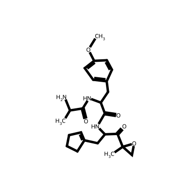 COc1ccc(CC(NC(=O)C(C)N)C(=O)NC(CC2=CCCC2)C(=O)C2(C)CO2)cc1